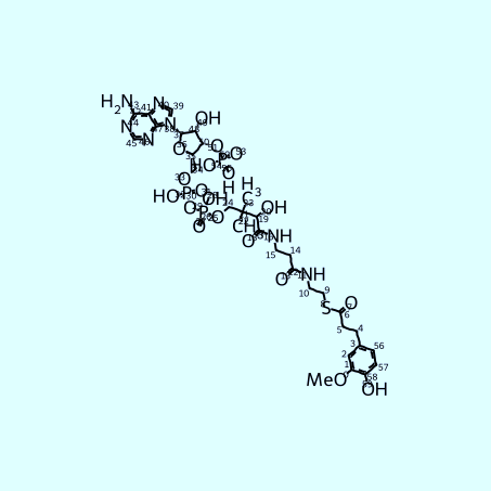 COc1cc(CCC(=O)SCCNC(=O)CCNC(=O)C(O)C(C)(C)COP(=O)(O)OP(=O)(O)OC[C@H]2O[C@@H](n3cnc4c(N)ncnc43)[C@H](O)[C@@H]2OP(=O)(O)O)ccc1O